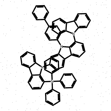 c1ccc(-c2ccc(-n3c4cc(-n5c6ccccc6c6cccc([Si](c7ccccc7)(c7ccccc7)c7ccccc7)c65)ccc4c4cccc(-n5c6ccccc6c6ccccc65)c43)cc2)cc1